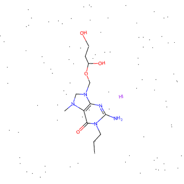 CCCn1c(N)nc2c(c1=O)N(C)CN2COC(O)CCO.I